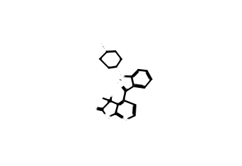 CC1(C)C(=O)Nc2nccc(-c3nn([C@H]4CC[C@H](N)CC4)c4ccccc34)c21